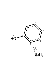 Oc1ccccc1.[BaH2].[Sb]